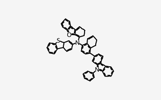 C1=Cc2c(N(C3=CC4Sc5ccccc5C4C=C3)C3=c4oc5ccccc5c4=CCC3)ccc(-c3ccc4c5ccccc5n(-c5ccccc5)c4c3)c2CC1